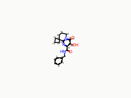 O=C(NCc1ccccc1)c1nc2n(c(=O)c1O)CCCC21CCC1